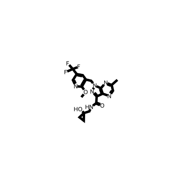 COc1ncc(C(F)(F)F)cc1Cn1nc(C(=O)NCC2(O)CC2)c2ncc(C)nc21